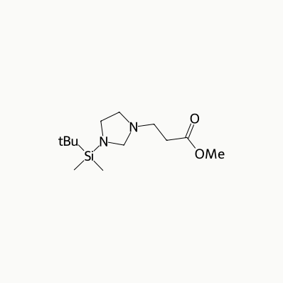 COC(=O)CCN1CCN([Si](C)(C)C(C)(C)C)C1